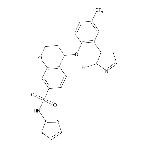 CC(C)n1nccc1-c1cc(C(F)(F)F)ccc1OC1CCOc2cc(S(=O)(=O)Nc3nccs3)ccc21